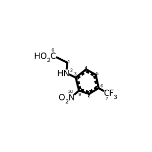 O=C(O)CNc1ccc(C(F)(F)F)cc1[N+](=O)[O-]